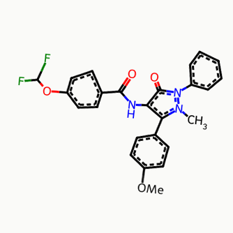 COc1ccc(-c2c(NC(=O)c3ccc(OC(F)F)cc3)c(=O)n(-c3ccccc3)n2C)cc1